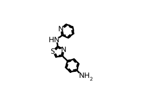 Nc1ccc(-c2csc(Nc3ccccn3)n2)cc1